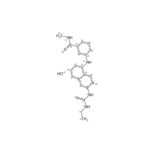 CCNC(=O)Nc1cc2cccc(Nc3cccc(C(=O)NC)c3)c2cn1.Cl